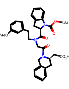 COc1cccc(CCN(CC(=O)N2Cc3ccccc3C[C@@H]2CC(=O)O)C(=O)[C@H]2Cc3ccccc3N2C(=O)OC(C)(C)C)c1